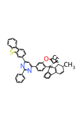 CC1C=CC2=C(C1)[C@@]1(c3ccccc3Oc3cc(-c4cc(-c5ccc6c(c5)sc5ccccc56)nc(-c5ccccc5)n4)ccc31)c1ccccc12